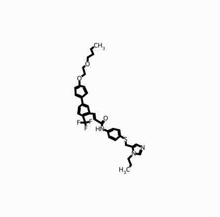 CCCCOCCOc1ccc(-c2ccc(C(F)(F)F)c(/C=C/C(=O)Nc3ccc(SCc4cncn4CCC)cc3)c2)cc1